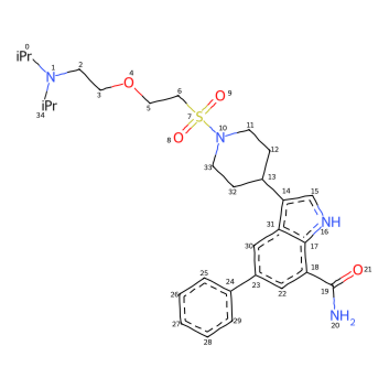 CC(C)N(CCOCCS(=O)(=O)N1CCC(c2c[nH]c3c(C(N)=O)cc(-c4ccccc4)cc23)CC1)C(C)C